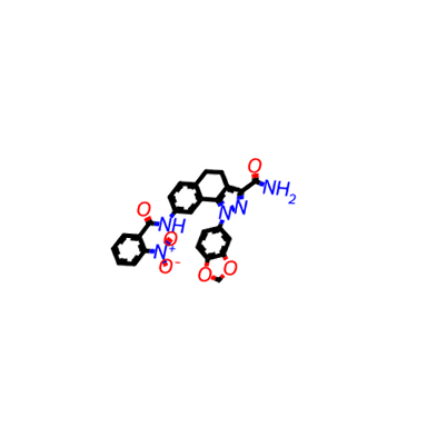 NC(=O)c1nn(-c2ccc3c(c2)OCO3)c2c1CCc1ccc(NC(=O)c3ccccc3[N+](=O)[O-])cc1-2